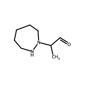 CC(C=O)N1CCCCCN1